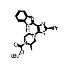 CC(C)c1nc(-c2nc3ccccc3[nH]2)c(N2CCN(C(=O)OC(C)(C)C)C(C)C2)s1